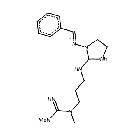 CNC(=N)N(C)CCCNC1NCCN1/N=C/c1ccccc1